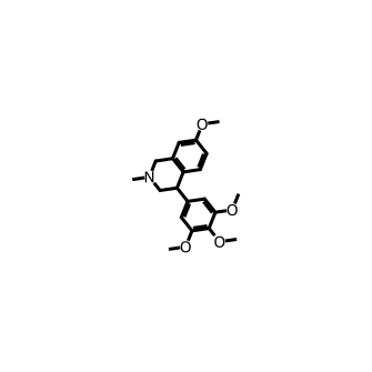 COc1ccc2c(c1)CN(C)CC2c1cc(OC)c(OC)c(OC)c1